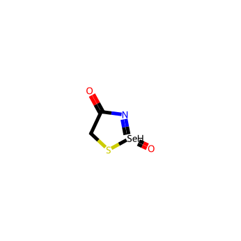 O=C1CS[SeH](=O)=N1